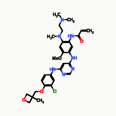 C=CC(=O)Nc1cc(Nc2cc(Nc3ccc(OCC4(C)COC4)c(Cl)c3)ncn2)c(OC)cc1N(C)CCN(C)C